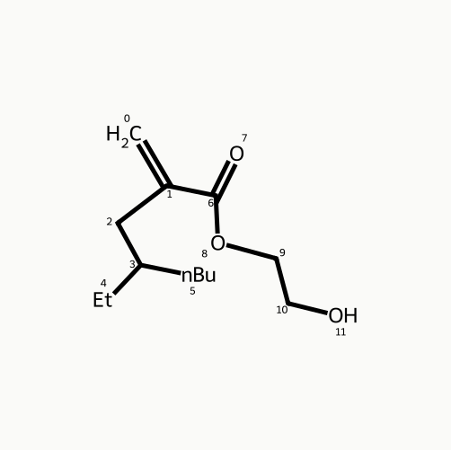 C=C(CC(CC)CCCC)C(=O)OCCO